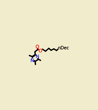 CCCCCCCCCCCCCCCCOC(=O)Cc1nc(C)c(C)nc1C